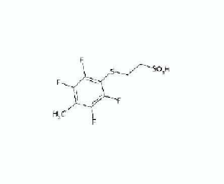 Cc1c(F)c(F)c(SCCS(=O)(=O)O)c(F)c1F